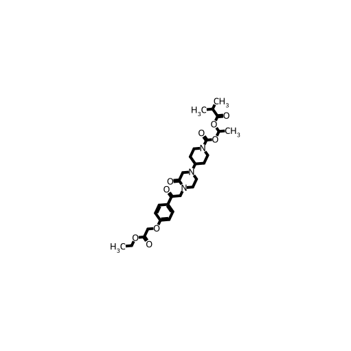 CCOC(=O)COc1ccc(C(=O)CN2CCN(C3CCN(C(=O)OC(C)OC(=O)C(C)C)CC3)CC2=O)cc1